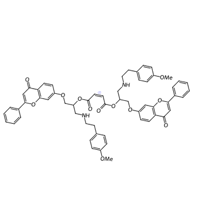 COc1ccc(CCNCC(COc2ccc3c(=O)cc(-c4ccccc4)oc3c2)OC(=O)/C=C\C(=O)OC(CNCCc2ccc(OC)cc2)COc2ccc3c(=O)cc(-c4ccccc4)oc3c2)cc1